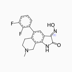 CN1CCc2c(-c3cccc(F)c3F)cc3c(c2C1)NC(=O)/C3=N/O